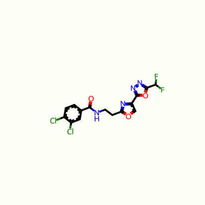 O=C(NCCc1nc(-c2nnc(C(F)F)o2)co1)c1ccc(Cl)c(Cl)c1